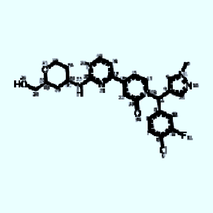 Cn1cc(C(c2ccc(Cl)c(F)c2)n2ccc(-c3ccnc(N[C@@H]4CCO[C@H](CO)C4)n3)cc2=O)cn1